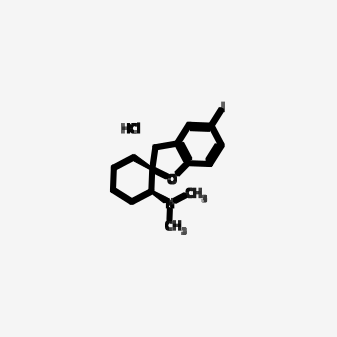 CN(C)[C@H]1CCCC[C@]12Cc1cc(I)ccc1O2.Cl